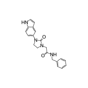 O=C(CN1CCN(c2ccc3[nH]ccc3c2)C1=O)NCc1ccccc1